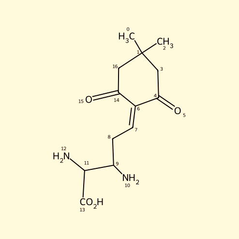 CC1(C)CC(=O)C(=CCC(N)C(N)C(=O)O)C(=O)C1